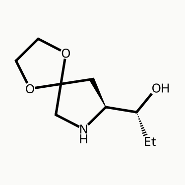 CC[C@@H](O)[C@@H]1CC2(CN1)OCCO2